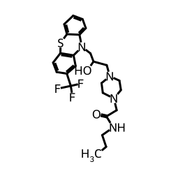 CCCNC(=O)CN1CCN(CC(O)CN2c3ccccc3Sc3ccc(C(F)(F)F)cc32)CC1